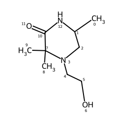 CC1CN(CCO)C(C)(C)C(=O)N1